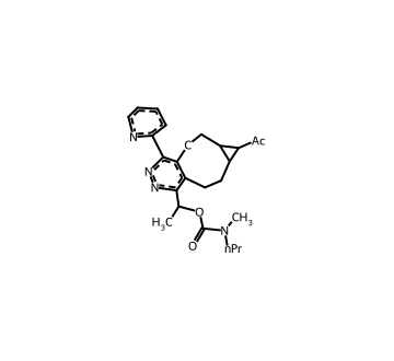 CCCN(C)C(=O)OC(C)c1nnc(-c2ccccn2)c2c1CCC1C(CC2)C1C(C)=O